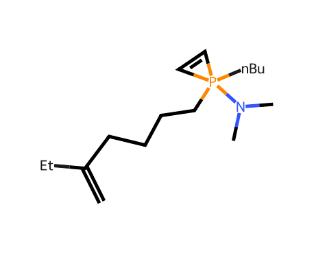 C=C(CC)CCCCP1(CCCC)(N(C)C)C=C1